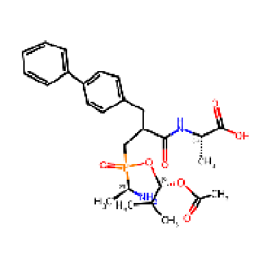 CC(=O)O[C@@H](OP(=O)(CC(Cc1ccc(-c2ccccc2)cc1)C(=O)N[C@@H](C)C(=O)O)[C@H](C)N)C(C)C